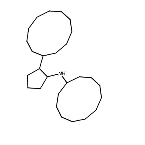 C1CCCCCC(NC2CCCC2C2CCCCCCCCCC2)CCCC1